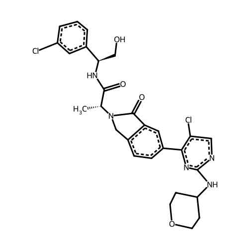 C[C@H](C(=O)N[C@H](CO)c1cccc(Cl)c1)N1Cc2ccc(-c3nc(NC4CCOCC4)ncc3Cl)cc2C1=O